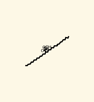 CCCCCCCCC=CCCCCCCC(CCCCCCCCCCCCCC)C(=O)S(=O)(=O)O